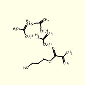 C=C(C)C(=O)O.C=C(C)C(=O)O.C=C(C)C(=O)O.C=C(C)C(=O)OCCCO